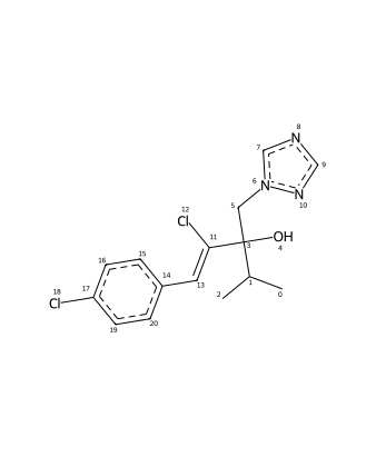 CC(C)C(O)(Cn1cncn1)/C(Cl)=C/c1ccc(Cl)cc1